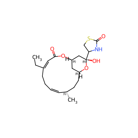 CCC1=CC(=O)O[C@@H]2C[C@@H](CC[C@H](C)C=CCC1)O[C@@](O)(C1CSC(=O)N1)C2